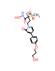 CC(CCn1ccc(-c2ccc(OCCCO)cc2)cc1=O)(C(=O)NO)S(C)(=O)=O